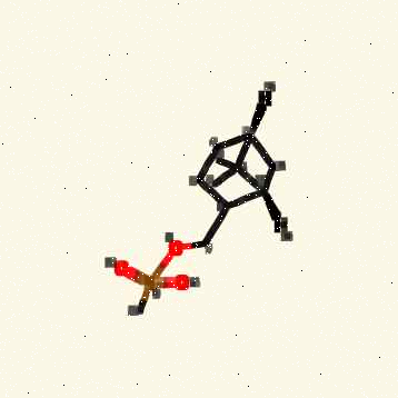 CC1(C)[C@@H]2CCC(COS(C)(=O)=O)[C@H]1C2